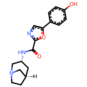 O=C(N[C@@H]1C[C@H]2CCN(C2)C1)c1ncc(-c2ccc(O)cc2)o1